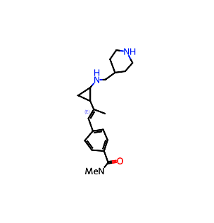 CNC(=O)c1ccc(/C=C(\C)C2CC2NCC2CCNCC2)cc1